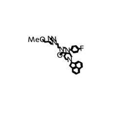 COCc1cn(CCN2CN(c3ccc(F)cc3)C3(CCN([C@@H]4Cc5cccc6cccc4c56)CC3)C2=O)nn1